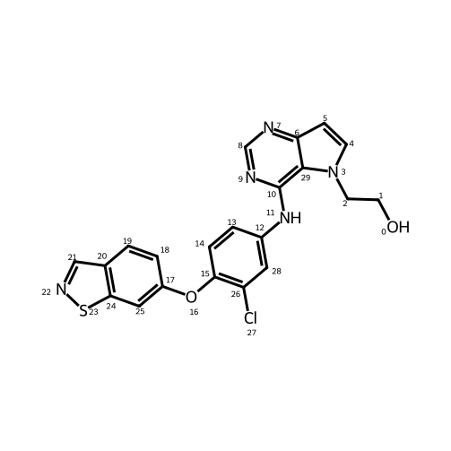 OCCn1ccc2ncnc(Nc3ccc(Oc4ccc5cnsc5c4)c(Cl)c3)c21